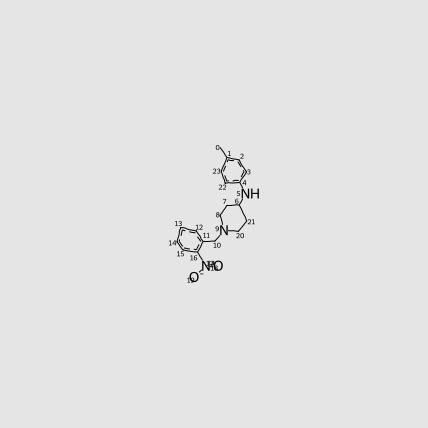 Cc1ccc(NC2CCN(Cc3ccccc3[N+](=O)[O-])CC2)cc1